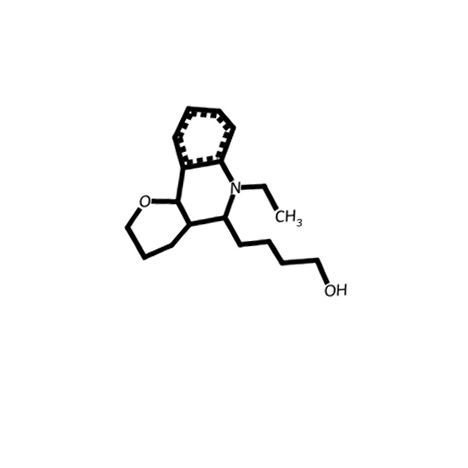 CCN1c2ccccc2C2OCCCC2C1CCCCO